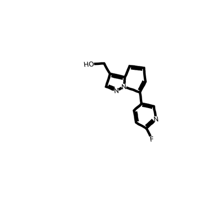 OCc1cnn2c(-c3ccc(F)nc3)cccc12